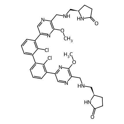 COc1nc(-c2cccc(-c3cccc(-c4cnc(CNC[C@H]5CCC(=O)N5)c(OC)n4)c3Cl)c2Cl)cnc1CNC[C@H]1CCC(=O)N1